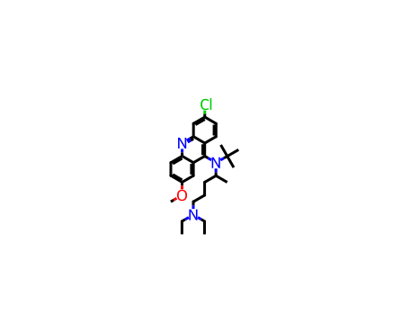 CCN(CC)CCCC(C)N(c1c2ccc(Cl)cc2nc2ccc(OC)cc12)C(C)(C)C